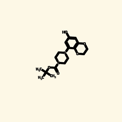 CC(C)(C)OC(=O)N1CCN(c2cc(O)cc3c2OCCO3)CC1